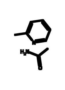 CC(N)=O.Cc1ccccn1